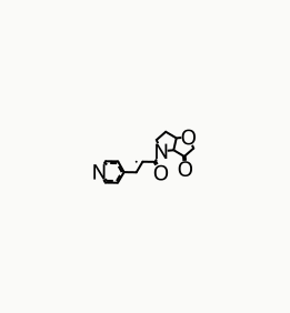 O=C1COC2CCN(C(=O)[CH]Cc3ccncc3)C12